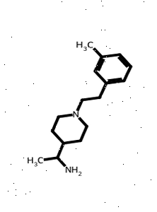 Cc1cccc(CCN2CCC(C(C)N)CC2)c1